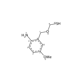 COc1ccc(N)c(COCS)c1